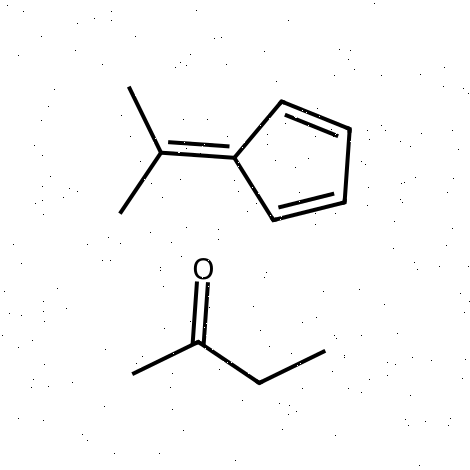 CC(C)=C1C=CC=C1.CCC(C)=O